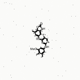 COc1cc(Nc2ncc(F)c(Nc3cc(C)c4oc(=O)[nH]c4c3)n2)cc(C)c1F